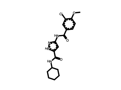 COc1ccc(C(=O)Nc2cc(C(=O)NC3CCCCC3)[nH]n2)cc1Cl